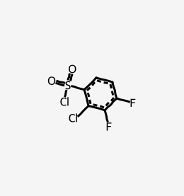 O=S(=O)(Cl)c1ccc(F)c(F)c1Cl